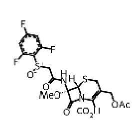 CO[C@@]1(NC(=O)C[S+]([O-])c2c(F)cc(F)cc2F)C(=O)N2C(C(=O)O)=C(COC(C)=O)CS[C@H]21